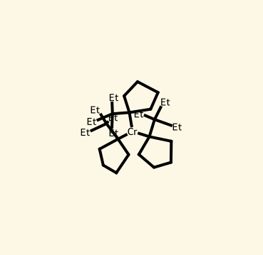 CCC(CC)(CC)[C]1([Cr]([C]2(C(CC)(CC)CC)CCCC2)[C]2(C(CC)(CC)CC)CCCC2)CCCC1